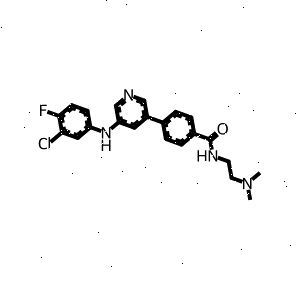 CN(C)CCNC(=O)c1ccc(-c2cncc(Nc3ccc(F)c(Cl)c3)c2)cc1